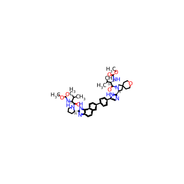 COC(=O)N[C@H](C(=O)N1CC2(CCOCC2)C[C@H]1c1ncc(-c2ccc(-c3ccc4c(ccc5nc([C@@H]6CCCN6C(=O)[C@@H](NC(=O)OC)C(C)C)[nH]c54)c3)cc2)[nH]1)C(C)C